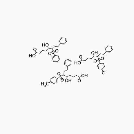 Cc1ccc(S(=O)(=O)C(CCc2ccccc2)C(O)CCCC(=O)O)cc1.O=C(O)CCCC(O)C(C=Cc1ccccc1)S(=O)(=O)c1ccccc1.O=C(O)CCCC(O)C(CCc1ccccc1)S(=O)(=O)c1ccc(Cl)cc1